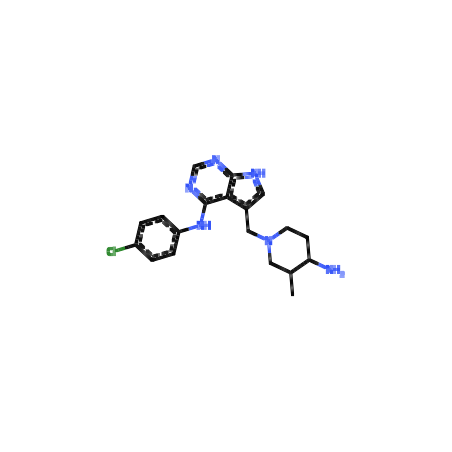 CC1CN(Cc2c[nH]c3ncnc(Nc4ccc(Cl)cc4)c23)CCC1N